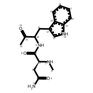 CN[C@@H](CC(N)=O)C(=O)NC(Cc1c[nH]c2ccccc12)C(C)=O